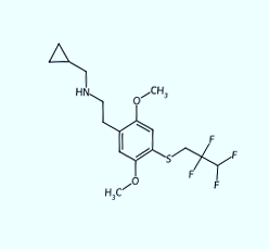 COc1cc(SCC(F)(F)C(F)F)c(OC)cc1CCNCC1CC1